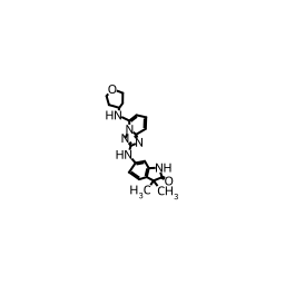 CC1(C)C(=O)Nc2cc(Nc3nc4cccc(NC5CCOCC5)n4n3)ccc21